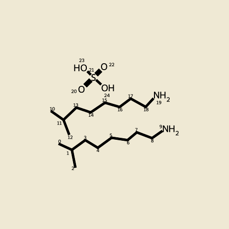 CC(C)CCCCCCN.CC(C)CCCCCCN.O=S(=O)(O)O